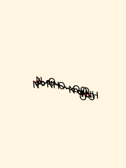 Cn1c2ccncc2c2ccc(C3=CNC(OCCCCCOCCCCCN4CC(Oc5ccc6c(c5)C(=O)N(C5CCC(=O)NC5=O)C6=O)C4)C=C3)cc21